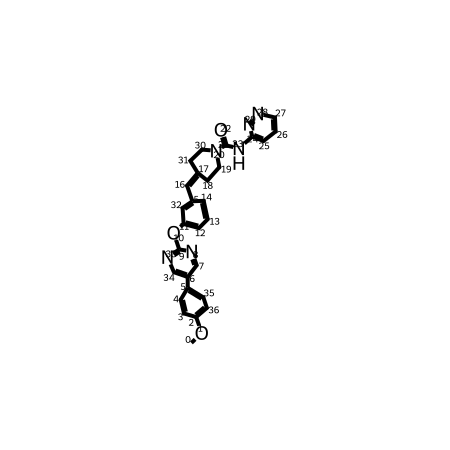 COc1ccc(-c2cnc(Oc3cccc(C=C4CCN(C(=O)Nc5cccnn5)CC4)c3)nc2)cc1